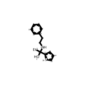 CCC(O)(NCCc1ccccc1)c1cccs1